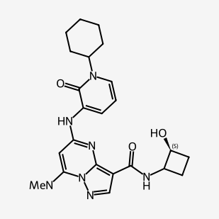 CNc1cc(Nc2cccn(C3CCCCC3)c2=O)nc2c(C(=O)NC3CC[C@@H]3O)cnn12